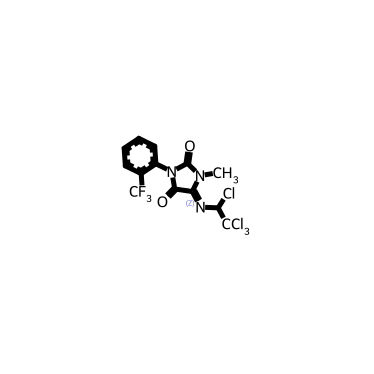 CN1C(=O)N(c2ccccc2C(F)(F)F)C(=O)/C1=N/C(Cl)C(Cl)(Cl)Cl